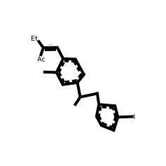 CC/C(=C/c1ccc(C(C)Cc2cccc(I)c2)cc1C)C(C)=O